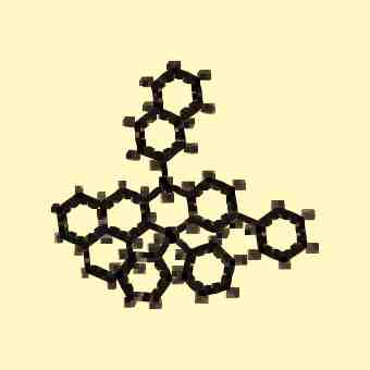 C1=Cc2cccc3cc4c(c(c23)C1)[Si](c1ccccc1)(c1ccccc1)c1cc(-c2ccccc2)ccc1N4c1ccc2ccccc2c1